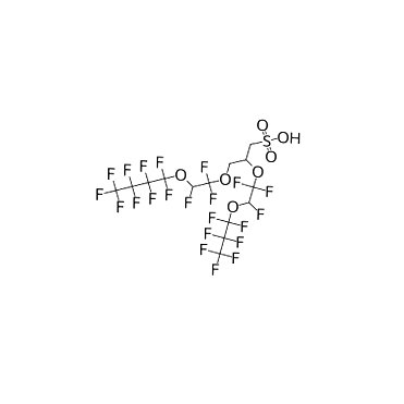 O=S(=O)(O)CC(COC(F)(F)C(F)OC(F)(F)C(F)(F)C(F)(F)C(F)(F)F)OC(F)(F)C(F)OC(F)(F)C(F)(F)C(F)(F)F